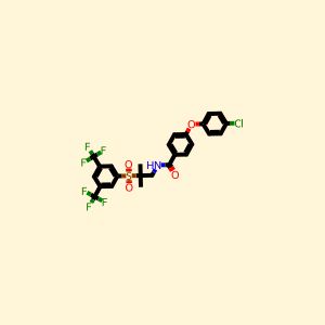 CC(C)(CNC(=O)c1ccc(Oc2ccc(Cl)cc2)cc1)S(=O)(=O)c1cc(C(F)(F)F)cc(C(F)(F)F)c1